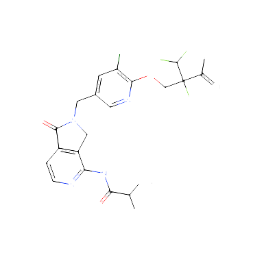 C=C(C)C(F)(COc1ncc(CN2Cc3c(ccnc3NC(=O)C(C)C)C2=O)cc1Cl)C(F)F